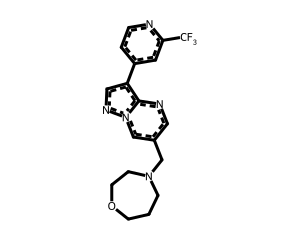 FC(F)(F)c1cc(-c2cnn3cc(CN4CCCOCC4)cnc23)ccn1